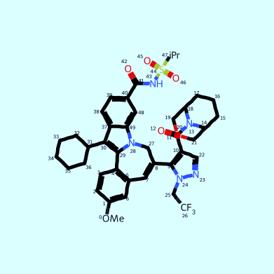 COc1ccc2c(c1)C=C(c1c(C(=O)N3C4CCCC3COC4)cnn1CC(F)(F)F)Cn1c-2c(C2CCCCC2)c2ccc(C(=O)NS(=O)(=O)C(C)C)cc21